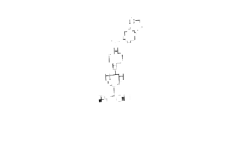 CC(C)C(O)c1cnc(N2CCN(C(C)c3ccc4c(c3)OCC4)CC2)nc1